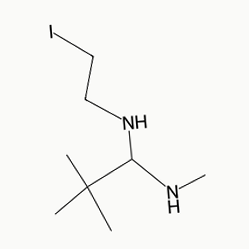 CNC(NCCI)C(C)(C)C